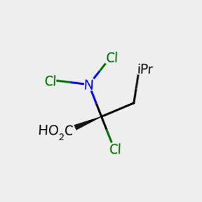 CC(C)C[C@@](Cl)(C(=O)O)N(Cl)Cl